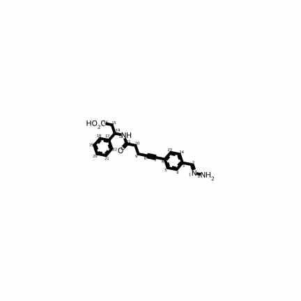 NN=Cc1ccc(C#CCCC(=O)NC(CC(=O)O)c2ccccc2)cc1